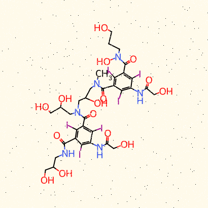 CN(CC(O)CN(CC(O)CO)C(=O)c1c(I)c(NC(=O)CO)c(I)c(C(=O)NCC(O)CO)c1I)C(=O)c1c(I)c(NC(=O)CO)c(I)c(C(=O)N(O)CCCO)c1I